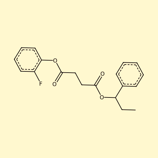 CCC(OC(=O)CCC(=O)Oc1ccccc1F)c1ccccc1